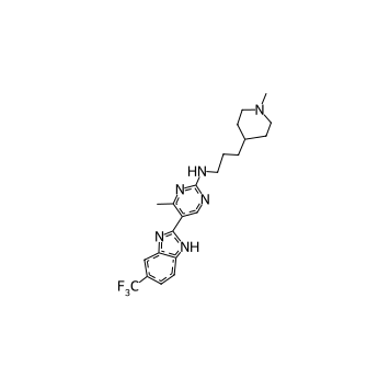 Cc1nc(NCCCC2CCN(C)CC2)ncc1-c1nc2cc(C(F)(F)F)ccc2[nH]1